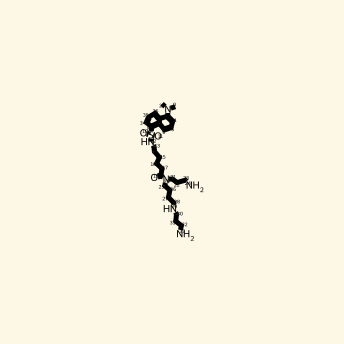 CN(C)c1cccc2c(S(=O)(=O)NCCCCCC(=O)N(CCCN)CCCCNCCCN)cccc12